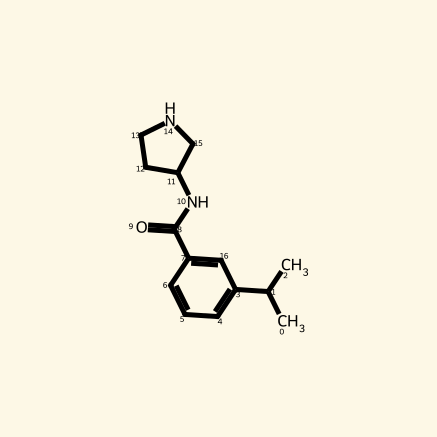 CC(C)c1cccc(C(=O)NC2CCNC2)c1